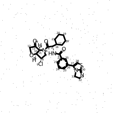 O=C(N[C@H](C(=O)N1C[C@H](Cl)[C@H]2OCC(=O)[C@H]21)C1CCCCC1)c1cccc(C2=CSC3=NCCN23)c1